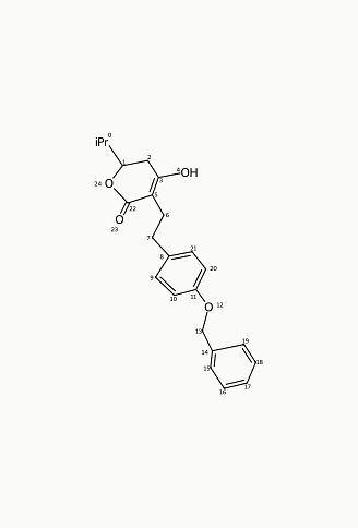 CC(C)C1CC(O)=C(CCc2ccc(OCc3ccccc3)cc2)C(=O)O1